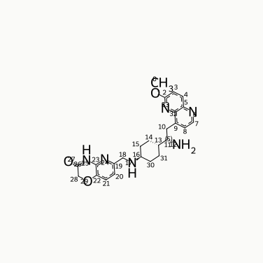 COc1ccc2nccc(C[C@H](N)[C@H]3CC[C@H](NCc4ccc5c(n4)NC(=O)CO5)CC3)c2n1